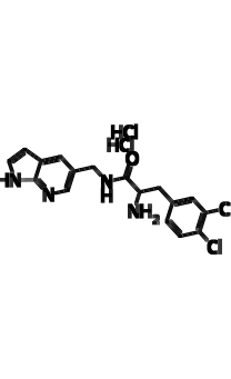 Cl.Cl.NC(Cc1ccc(Cl)c(Cl)c1)C(=O)NCc1cnc2[nH]ccc2c1